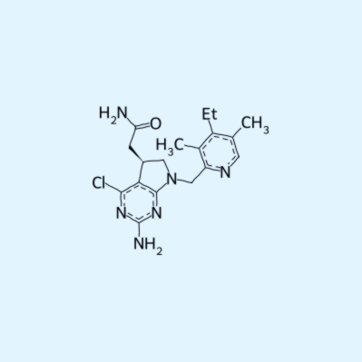 CCc1c(C)cnc(CN2C[C@H](CC(N)=O)c3c(Cl)nc(N)nc32)c1C